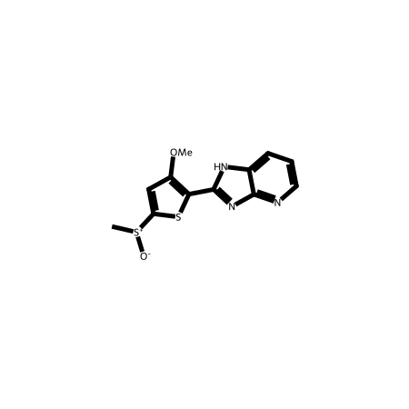 COc1cc([S+](C)[O-])sc1-c1nc2ncccc2[nH]1